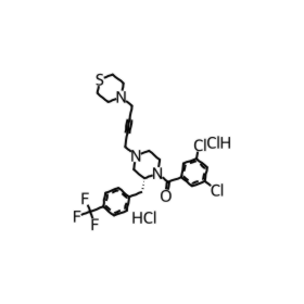 Cl.Cl.O=C(c1cc(Cl)cc(Cl)c1)N1CCN(CC#CCN2CCSCC2)C[C@H]1Cc1ccc(C(F)(F)F)cc1